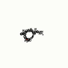 N=C(N)c1ccc(NC(=O)C[C@@H]2NC(=O)CCSSCC(C(N)=O)NC(=O)[C@@H]3CCCN3C(=O)[C@H](Cc3c[nH]c4ccccc34)NC(=O)[C@H](CC(=O)O)NC(=O)CNC2=O)cc1